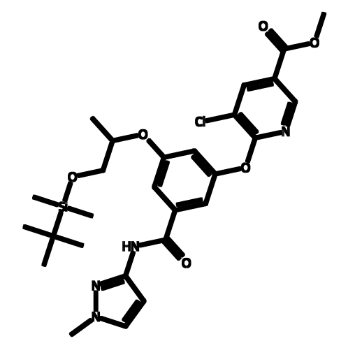 COC(=O)c1cnc(Oc2cc(OC(C)CO[Si](C)(C)C(C)(C)C)cc(C(=O)Nc3ccn(C)n3)c2)c(Cl)c1